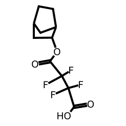 O=C(O)C(F)(F)C(F)(F)C(=O)OC1CC2CCC1C2